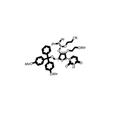 COCCO[C@@H]1[C@H](OP(OCCC#N)N(C(C)C)C(C)C)[C@@H](COC(c2ccccc2)(c2ccc(OC)cc2)c2ccc(OC)cc2)S[C@H]1n1ccc(=O)[nH]c1=O